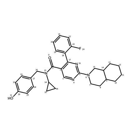 O=C(c1cnc(N2CCC3CCCCC3C2)nc1-c1ccccc1F)N(Cc1ccc(O)cc1)C1CC1